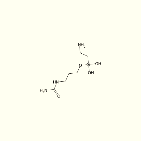 NCC[Si](O)(O)OCCCNC(N)=O